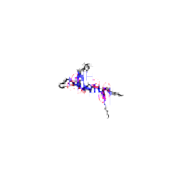 CCCCCCCCOC(=O)N[C@@H](CNC(=O)c1ccc(C(=O)N2C[C@@H](C(=O)NC3=C(c4ccccc4)C3)[C@H](C(=O)N[C@H]3C[C@@H]3c3ccccc3)C2)cc1)C(=O)NCCCCCC